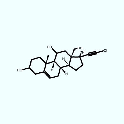 C[C@]12CCC(O)CC1=CC[C@@H]1[C@H]2C(O)C[C@@]2(CO)[C@H]1CCC2(O)C#CCl